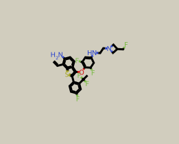 C=Cc1c(N)ccc2c(OC3=C(F)C=C(NCCN4CC(CF)C4)CC3F)c(-c3ccc(F)cc3C(C)(F)F)sc12